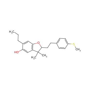 CCCc1cc2c(cc1O)C(C)(C)C(CCc1ccc(SC)cc1)O2